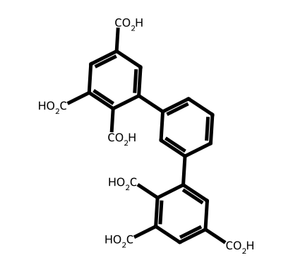 O=C(O)c1cc(C(=O)O)c(C(=O)O)c(-c2cccc(-c3cc(C(=O)O)cc(C(=O)O)c3C(=O)O)c2)c1